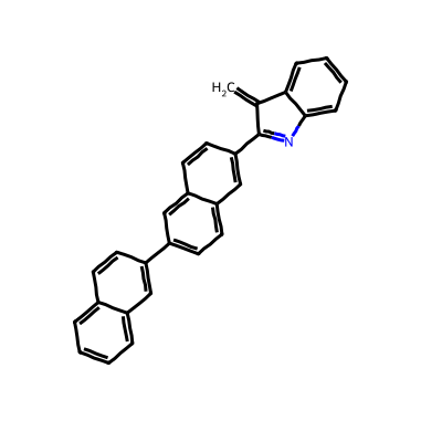 C=C1C(c2ccc3cc(-c4ccc5ccccc5c4)ccc3c2)=Nc2ccccc21